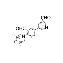 C[C@@H]1CN(c2ncc(-c3cncc(C=O)c3)cc2C=O)C[C@H](C)O1